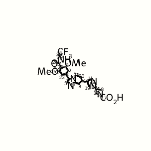 COc1cc(-c2cnc3cc(-c4cnn(C5CN(C(=O)O)C5)c4)ccn23)cc(OC)c1C(=O)NCC(F)(F)F